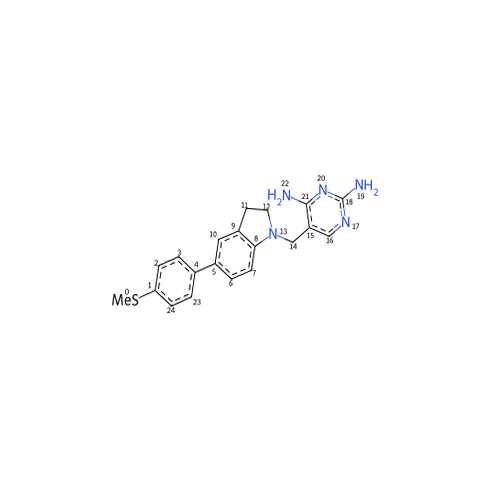 CSc1ccc(-c2ccc3c(c2)CCN3Cc2cnc(N)nc2N)cc1